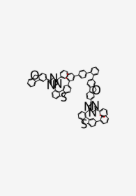 c1ccc(-c2ccc3sc4cccc(-c5nc(-c6ccccc6)nc(-c6ccc7c(c6)oc6cc(-c8ccccc8-c8ccc(-c9cccc(-c%10ccc%11sc%12cccc(-c%13nc(-c%14ccccc%14)nc(-c%14ccc%15oc%16ccccc%16c%15c%14)n%13)c%12c%11c%10)c9)cc8)ccc67)n5)c4c3c2)cc1